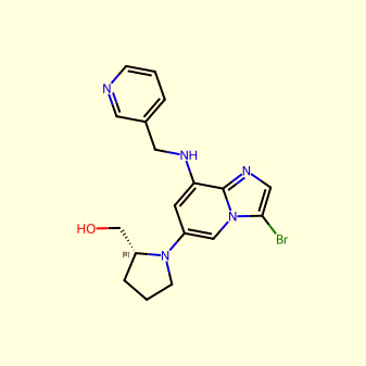 OC[C@H]1CCCN1c1cc(NCc2cccnc2)c2ncc(Br)n2c1